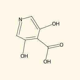 O=C(O)c1c(O)cncc1O